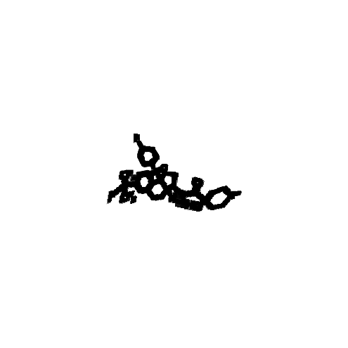 CN1CCC(O)(C(=O)N[C@@H]2CC[C@@]3(S(=O)(=O)c4ccc(F)cc4)c4ccc(C(F)(C(F)(F)F)C(F)(F)F)cc4CC[C@@H]23)CC1